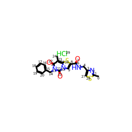 Cc1nc(CNC(=O)c2cn3c(=O)n(Cc4ccccc4)c(=O)c(C)c3s2)cs1.Cl